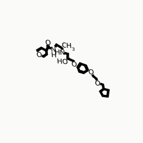 CC(CNC(=O)C1CCOCC1)NC[C@H](O)COc1ccc(OCCOCC2CCCC2)cc1